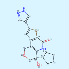 O=c1[nH]c2c(c3cc(-c4cn[nH]c4)sc13)COCC2(O)C1CCCC1